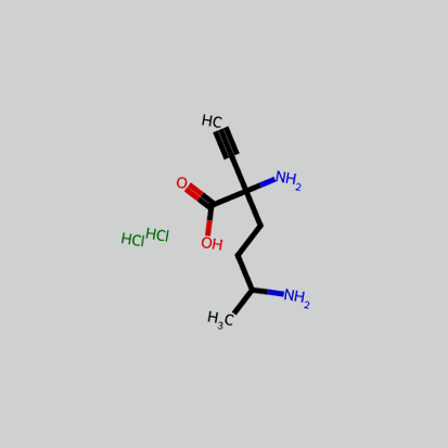 C#CC(N)(CCC(C)N)C(=O)O.Cl.Cl